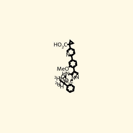 [2H]C([2H])([2H])C([2H])(OC(=O)Nc1c(-c2ccc(-c3ccc(C4(C(=O)O)CC4)cn3)cc2OC)cnn1C)c1ccccc1